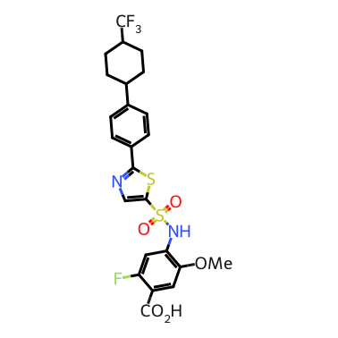 COc1cc(C(=O)O)c(F)cc1NS(=O)(=O)c1cnc(-c2ccc(C3CCC(C(F)(F)F)CC3)cc2)s1